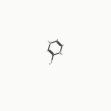 IC1=CSC=CS1